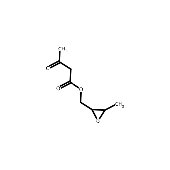 CC(=O)CC(=O)OCC1OC1C